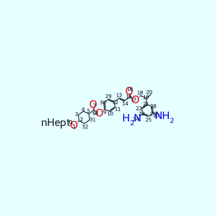 CCCCCCCOC1CCC(C(=O)Oc2ccc(/C=C/C(=O)OCC(C)c3cc(N)cc(N)c3)cc2)CC1